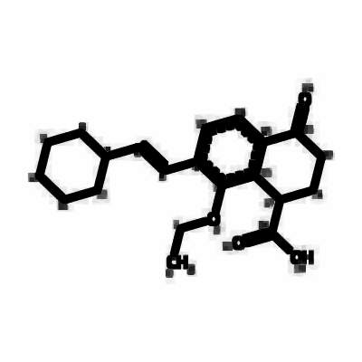 CCOc1c(C=CC2CCCCC2)ccc2c1C(C(=O)O)CCC2=O